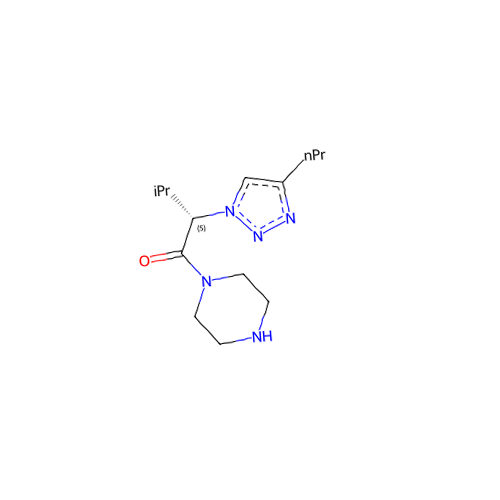 CCCc1cn([C@H](C(=O)N2CCNCC2)C(C)C)nn1